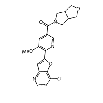 COc1cc(C(=O)N2CC3COCC3C2)cnc1-c1cc2nccc(Cl)c2o1